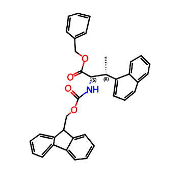 C[C@H](c1cccc2ccccc12)[C@H](NC(=O)OCC1c2ccccc2-c2ccccc21)C(=O)OCc1ccccc1